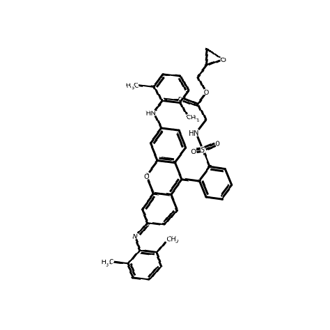 Cc1cccc(C)c1/N=c1\ccc2c(-c3ccccc3S(=O)(=O)NCC(=O)OCC3CO3)c3ccc(Nc4c(C)cccc4C)cc3oc-2c1